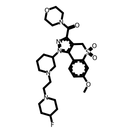 COc1ccc2c(c1)S(=O)(=O)Cc1c(C(=O)N3CCOCC3)nn(C3CCCN(CCN4CCC(F)CC4)C3)c1-2